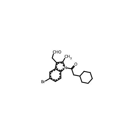 Cc1c(CC=O)c2cc(Br)ccc2n1C(=O)CC1CCCCC1